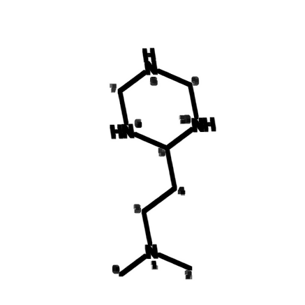 CN(C)CCC1NCNCN1